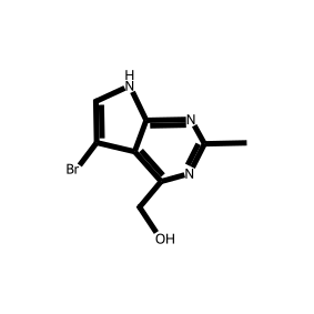 Cc1nc(CO)c2c(Br)c[nH]c2n1